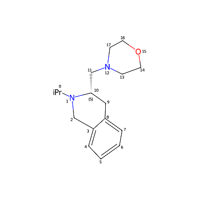 CC(C)N1Cc2ccccc2C[C@H]1CN1CCOCC1